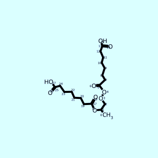 CC(COOC(=O)CCCCCCC(=O)O)OC(=O)CCCCCCC(=O)O